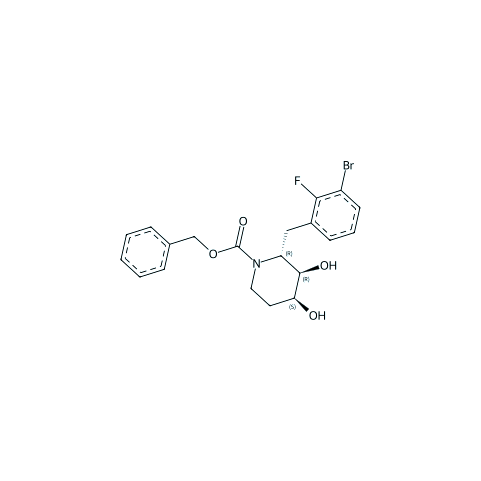 O=C(OCc1ccccc1)N1CC[C@H](O)[C@H](O)[C@H]1Cc1cccc(Br)c1F